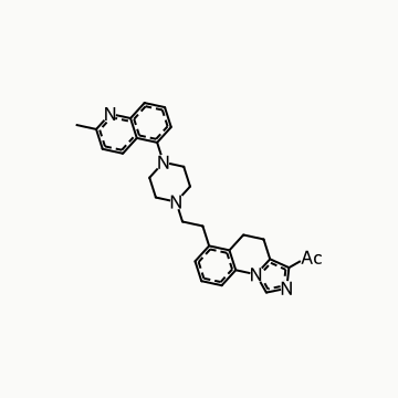 CC(=O)c1ncn2c1CCc1c(CCN3CCN(c4cccc5nc(C)ccc45)CC3)cccc1-2